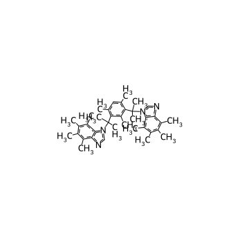 Cc1cc(C)c(C(C)(C)n2cnc3c(C)c(C)c(C)c(C)c32)c(C)c1C(C)(C)n1cnc2c(C)c(C)c(C)c(C)c21